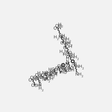 CC(C)C[C@H](N)C(=O)O.CC(C)[C@H](N)C(=O)O.CC[C@H](C)[C@H](N)C(=O)O.C[C@H](N)C(=O)O.C[C@H](N)C(=O)O.NC(=O)C[C@H](N)C(=O)O.NC(=O)C[C@H](N)C(=O)O.NCC(=O)O.NCCCC[C@H](N)C(=O)O.NCCCC[C@H](N)C(=O)O.NCCCC[C@H](N)C(=O)Oc1ccc(C[C@H](N)C(=O)O)cc1.N[C@@H](CCC(=O)O)C(=O)O.N[C@@H](Cc1c[nH]cn1)C(=O)O.N[C@@H](Cc1ccccc1)C(=O)O